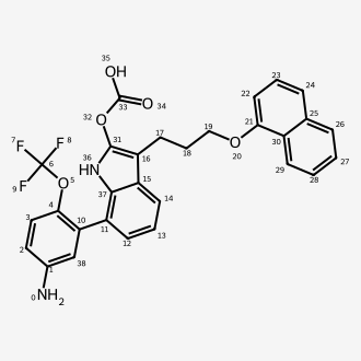 Nc1ccc(OC(F)(F)F)c(-c2cccc3c(CCCOc4cccc5ccccc45)c(OC(=O)O)[nH]c23)c1